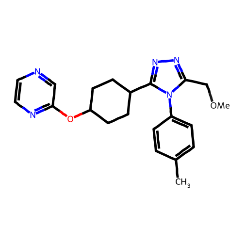 COCc1nnc(C2CCC(Oc3cnccn3)CC2)n1-c1ccc(C)cc1